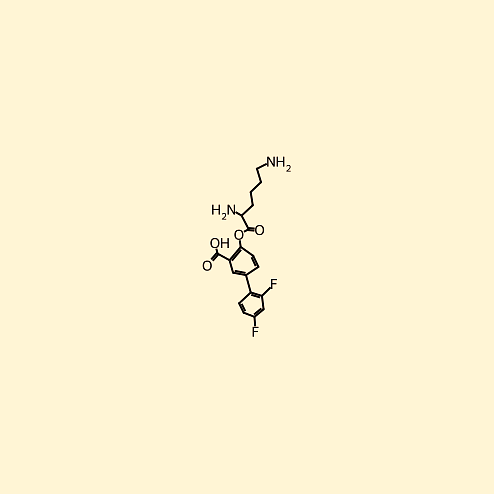 NCCCCC(N)C(=O)Oc1ccc(-c2ccc(F)cc2F)cc1C(=O)O